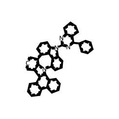 c1ccc(-c2nc(-n3c4cccc5c6cccc7c8c9ccccc9c9ccccc9c8n(c8cccc3c8c54)c67)nc3ccccc23)cc1